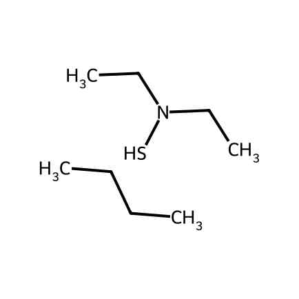 CCCC.CCN(S)CC